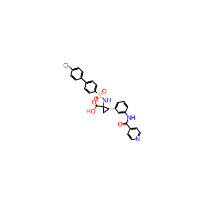 O=C(Nc1cccc([C@@H]2C[C@]2(NS(=O)(=O)c2ccc(-c3ccc(Cl)cc3)cc2)C(=O)O)c1)c1ccncc1